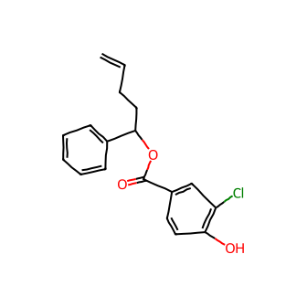 C=CCCC(OC(=O)c1ccc(O)c(Cl)c1)c1ccccc1